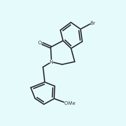 COc1cccc(CN2CCc3cc(Br)ccc3C2=O)c1